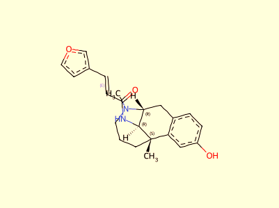 CN1CCC[C@@]2(C)c3cc(O)ccc3C[C@@H]1[C@@H]2NC(=O)/C=C/c1ccoc1